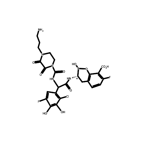 NCCCN1CCN(C(=O)NC(C(=O)N[C@H]2Cc3ccc(F)c(C(=O)O)c3OB2O)c2cc(F)c(O)c(O)c2Cl)C(=O)C1=O